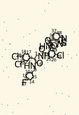 O=C(NC[C@@H](C(=O)NCc1ccc(F)cc1)c1ccc(Cl)c(Cl)c1)c1ccc(Cl)cc1NS(=O)(=O)c1cccc2nsnc12